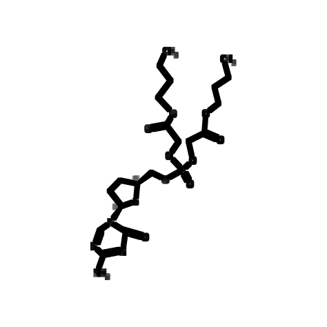 CCCCOC(=O)COP(=O)(OCC(=O)OCCCC)OC[C@@H]1CC[C@H](n2cnc(N)nc2=O)S1